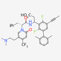 CC#Cc1cc(-c2c(C)cccc2C)c(F)c(C(CC(=O)O)NC(=O)[C@@H](CC(C)C)n2cc(CCN(C)C)c(C(F)(F)F)cc2=O)c1F